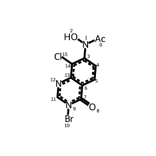 CC(=O)N(O)c1ccc2c(=O)n(Br)cnc2c1Cl